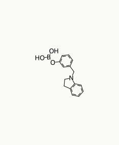 OB(O)Oc1cccc(CN2CCc3ccccc32)c1